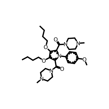 CCCCOc1c(OCCCC)c(C(=O)N2CCN(C)CC2)n(-c2ccc(OC)cc2)c1C(=O)N1CCN(C)CC1